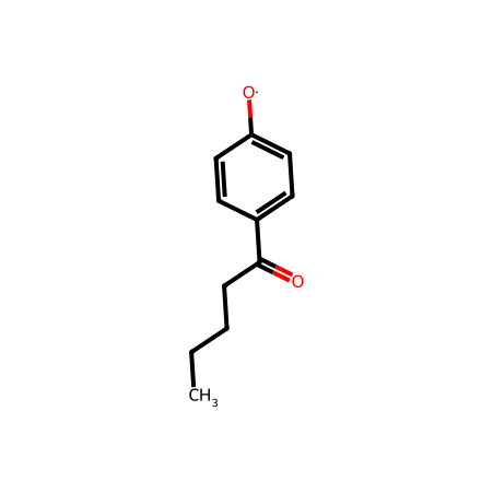 CCCCC(=O)c1ccc([O])cc1